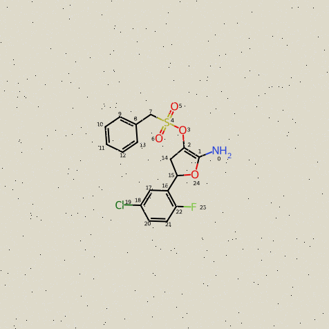 NC1=C(OS(=O)(=O)Cc2ccccc2)CC(c2cc(Cl)ccc2F)O1